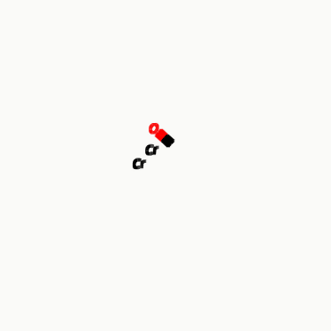 C=O.[Cr].[Cr]